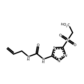 C=CCNC(=O)Nc1nnc(S(=O)(=O)CC(=O)O)s1